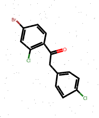 O=C(Cc1ccc(Cl)cc1)c1ccc(Br)cc1Cl